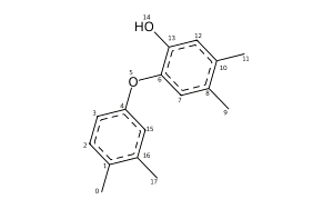 Cc1ccc(Oc2cc(C)c(C)cc2O)cc1C